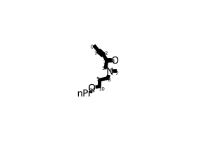 CC#CC(=O)CN(C)CCCOCCC